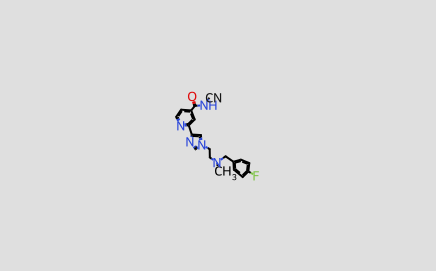 CN(CCn1cnc(-c2cc(C(=O)NC#N)ccn2)c1)Cc1ccc(F)cc1